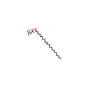 CCCCCCCCCCCCCCCCCCCCCC(=O)[P-]C(O)C[N+](C)(C)C